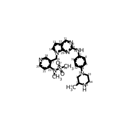 CC1CN(c2ccc(Nc3ncc4ccn(Cc5cnccc5N(C)S(C)(=O)=O)c4n3)cc2)CCN1